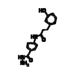 NNC(=O)c1ccc(NC(=O)CCc2cccc(O)c2)cc1